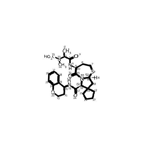 CC(C(=O)N[C@H]1CCS[C@H]2CC3(CCCC3)[C@@H](C(=O)NC3CCOc4ccccc43)N2C1=O)N(C)C(=O)O